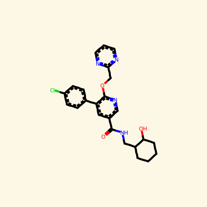 O=C(NCC1CCCCC1O)c1cnc(OCc2ncccn2)c(-c2ccc(Cl)cc2)c1